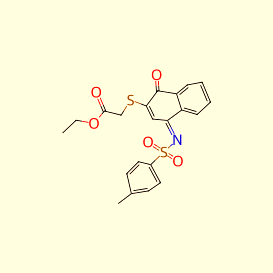 CCOC(=O)CSC1=C/C(=N\S(=O)(=O)c2ccc(C)cc2)c2ccccc2C1=O